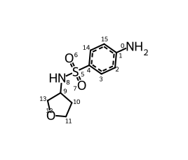 Nc1ccc(S(=O)(=O)NC2CCOC2)cc1